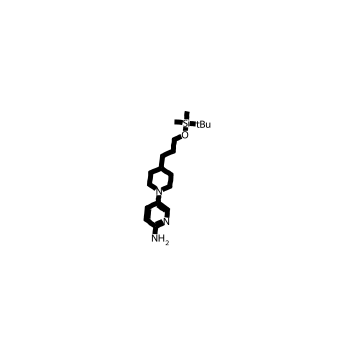 CC(C)(C)[Si](C)(C)OCCCC1CCN(c2ccc(N)nc2)CC1